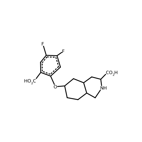 O=C(O)c1cc(F)c(F)cc1OC1CCC2CNC(C(=O)O)CC2C1